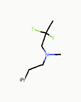 CC(C)CCN(C)CC(C)(F)F